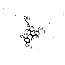 Cc1ccc(Nc2c(C(=O)NOCCO)cn3c(C)nnc3c2Cl)c(Cl)c1